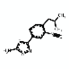 [C-]#[N+]c1cc(-c2nnc(N)s2)ccc1CC(C)C